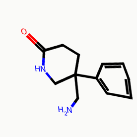 NCC1(c2ccccc2)CCC(=O)NC1